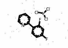 Fc1ccc(-c2ccccn2)c(F)c1.[Cl][Ir]([Cl])[Cl]